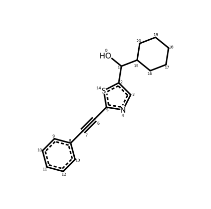 OC(c1cnc(C#Cc2ccccc2)s1)C1CCCCC1